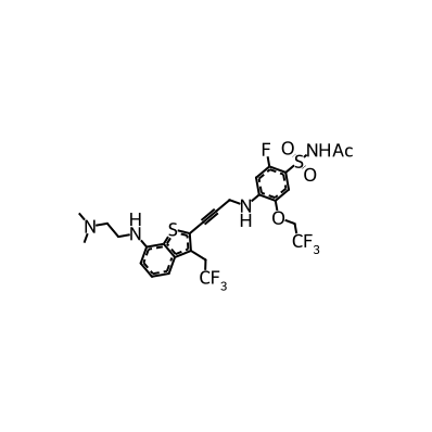 CC(=O)NS(=O)(=O)c1cc(OCC(F)(F)F)c(NCC#Cc2sc3c(NCCN(C)C)cccc3c2CC(F)(F)F)cc1F